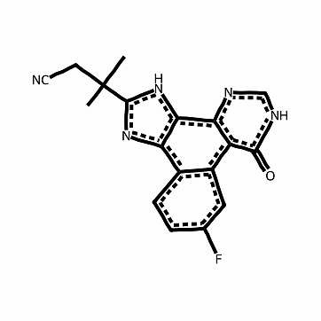 CC(C)(CC#N)c1nc2c3ccc(F)cc3c3c(=O)[nH]cnc3c2[nH]1